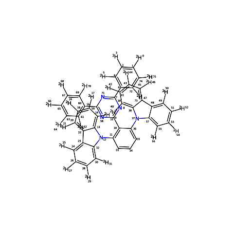 [2H]c1c([2H])c([2H])c(-c2nc(-c3c(-n4c5c([2H])c([2H])c([2H])c([2H])c5c5c([2H])c([2H])c([2H])c([2H])c54)cccc3-n3c4c([2H])c([2H])c([2H])c([2H])c4c4c([2H])c([2H])c([2H])c([2H])c43)nc(-c3c([2H])c([2H])c([2H])c([2H])c3[2H])n2)c([2H])c1[2H]